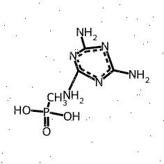 CP(=O)(O)O.Nc1nc(N)nc(N)n1